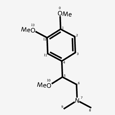 COc1ccc(C(CN(C)C)OC)cc1OC